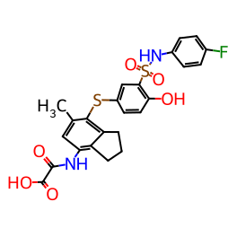 Cc1cc(NC(=O)C(=O)O)c2c(c1Sc1ccc(O)c(S(=O)(=O)Nc3ccc(F)cc3)c1)CCC2